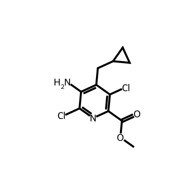 COC(=O)c1nc(Cl)c(N)c(CC2CC2)c1Cl